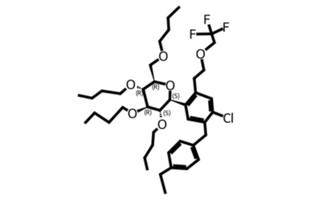 CCCCOC[C@H]1O[C@@H](c2cc(Cc3ccc(CC)cc3)c(Cl)cc2CCOCC(F)(F)F)[C@H](OCCCC)[C@@H](OCCCC)[C@@H]1OCCCC